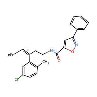 CCC/C=C(/CCNC(=O)c1cc(-c2ccccc2)no1)c1cc(Cl)ccc1C